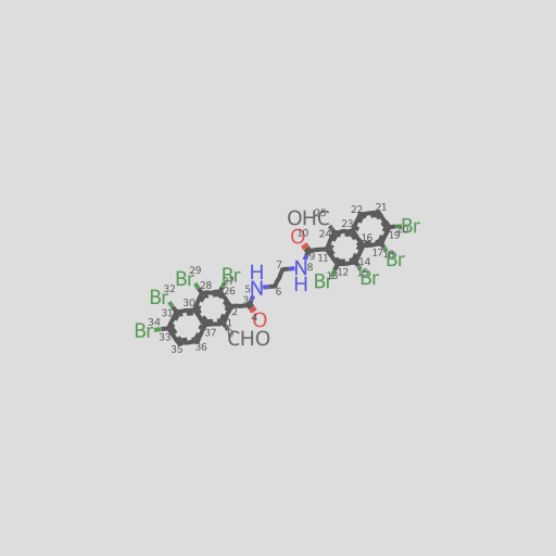 O=Cc1c(C(=O)NCCNC(=O)c2c(Br)c(Br)c3c(Br)c(Br)ccc3c2C=O)c(Br)c(Br)c2c(Br)c(Br)ccc12